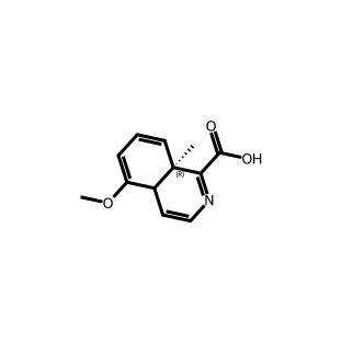 COC1=CC=C[C@@]2(C)C(C(=O)O)=NC=CC12